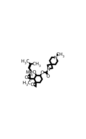 COC1C(OC(=O)N2CC3(CCN(C)CC3)C2)CCC2(CO2)C1[C@@]1(C)O[C@@H]1CC=C(C)C